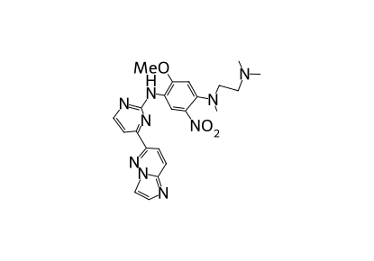 COc1cc(N(C)CCN(C)C)c([N+](=O)[O-])cc1Nc1nccc(-c2ccc3nccn3n2)n1